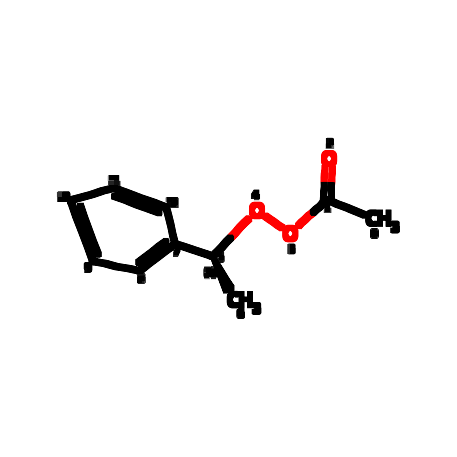 CC(=O)OO[C@@H](C)c1ccccc1